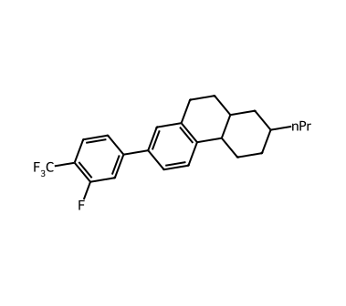 CCCC1CCC2c3ccc(-c4ccc(C(F)(F)F)c(F)c4)cc3CCC2C1